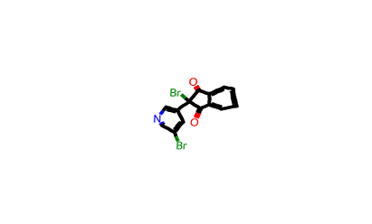 O=C1c2ccccc2C(=O)C1(Br)c1cncc(Br)c1